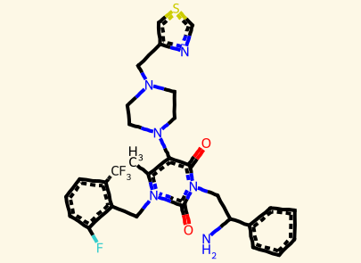 Cc1c(N2CCN(Cc3cscn3)CC2)c(=O)n(CC(N)c2ccccc2)c(=O)n1Cc1c(F)cccc1C(F)(F)F